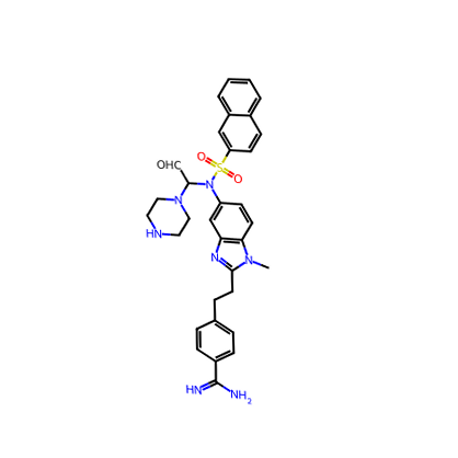 Cn1c(CCc2ccc(C(=N)N)cc2)nc2cc(N(C(C=O)N3CCNCC3)S(=O)(=O)c3ccc4ccccc4c3)ccc21